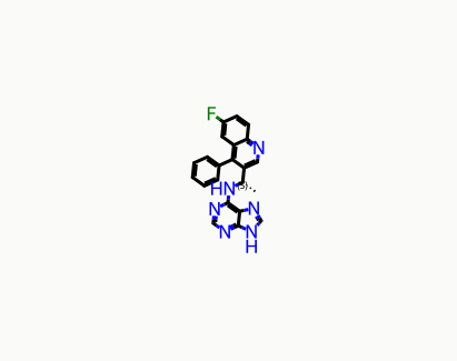 C[C@H](Nc1ncnc2[nH]cnc12)c1cnc2ccc(F)cc2c1-c1ccccc1